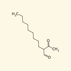 CCCCCCCCCC(C=O)C(C)=O